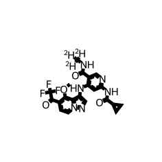 [2H]C([2H])([2H])NC(=O)c1cnc(NC(=O)C2CC2)cc1Nc1cnn2ccc(C(=O)C(F)(F)F)c(OC)c12